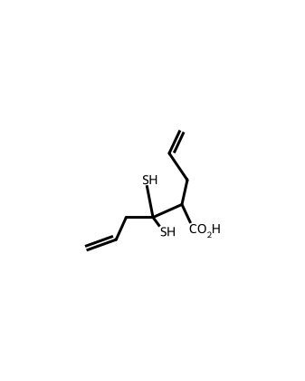 C=CCC(C(=O)O)C(S)(S)CC=C